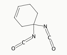 O=C=NC1(N=C=O)CC=CCC1